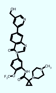 CN1CCN(C2(C(=O)Nc3cc(-n4cnc5cc(-c6cncc(CO)c6)ccc5c4=O)ccc3OC(F)(F)F)CC2)CC1